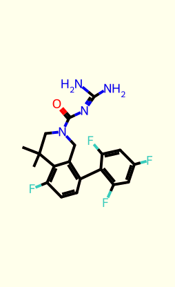 CC1(C)CN(C(=O)N=C(N)N)Cc2c(-c3c(F)cc(F)cc3F)ccc(F)c21